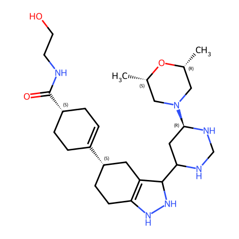 C[C@@H]1CN([C@@H]2CC(C3NNC4=C3C[C@@H](C3=CC[C@@H](C(=O)NCCO)CC3)CC4)NCN2)C[C@H](C)O1